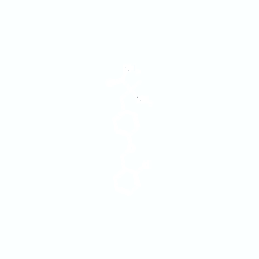 CC(N)(Cc1ccc(OCc2ccccc2Cl)cc1)C(N)=O